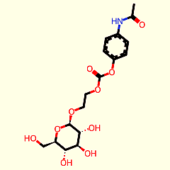 CC(=O)Nc1ccc(OC(=O)OCCO[C@@H]2O[C@H](CO)[C@@H](O)[C@H](O)[C@H]2O)cc1